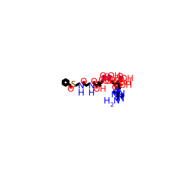 CC(C)(COP(=O)(O)OP(=O)(O)OCC1OC(C)(n2cnc3c(N)ncnc32)C(O)C1OP(=O)(O)O)C(O)C(=O)NCCC(=O)NCCSC(=O)c1ccccc1